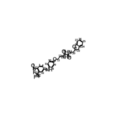 O=Nc1ccc(Nc2ccc(OCCNC(=O)C(=O)NCC3Cc4ccccc4O3)cc2)cc1C(F)(F)F